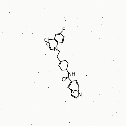 O=CN(CCC1=CC[C@H](NC(=O)c2ccc3nccn3c2)CC1)c1ccc(F)cc1Cl